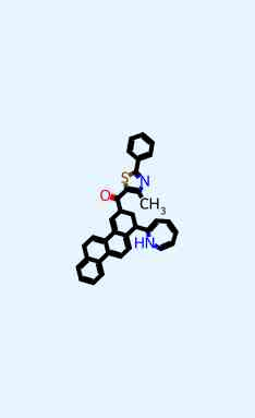 Cc1nc(-c2ccccc2)sc1C(=O)C1C=c2c(ccc3c2=CCc2ccccc2-3)C(C2=CC=CC=CN2)C1